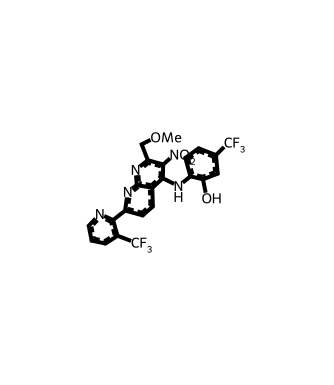 COCc1nc2nc(-c3ncccc3C(F)(F)F)ccc2c(Nc2ccc(C(F)(F)F)cc2O)c1[N+](=O)[O-]